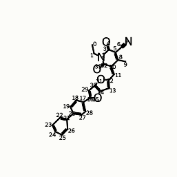 CCN1C(=O)C(C#N)=C(C)/C(=C/c2cc3oc(-c4ccc(-c5ccccc5)cc4)cc3o2)C1=O